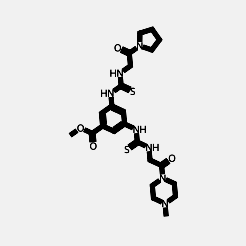 COC(=O)c1cc(NC(=S)NCC(=O)N2CCCC2)cc(NC(=S)NCC(=O)N2CCN(C)CC2)c1